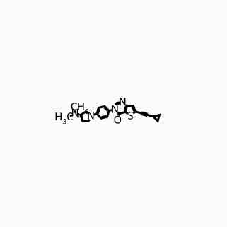 CN(C)[C@@H]1CCN(c2ccc(-n3cnc4cc(C#CC5CC5)sc4c3=O)cc2)C1